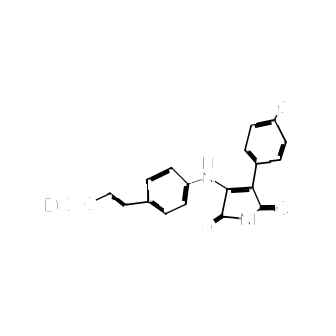 CCOC(=O)/C=C/c1ccc(NC2=C(c3ccc(Cl)cc3)C(=O)NC2=O)cc1